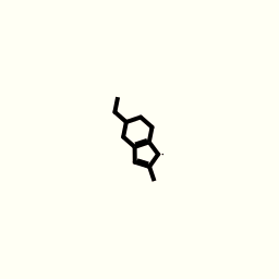 CCC1CCC2=C(C=C(C)[CH]2)C1